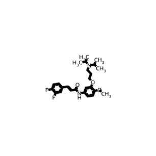 COc1ccc(NC(=O)C=Cc2ccc(F)c(F)c2)cc1OCCCN(C(C)C)C(C)C